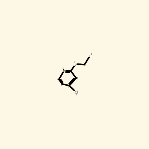 Clc1ccnc(SCI)c1